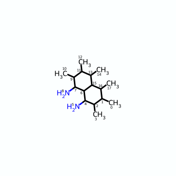 CC1C(C)C(N)C2C(N)C(C)C(C)C(C)C2C1C